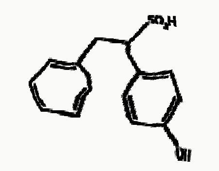 O=S(=O)(O)C(Cc1ccccc1)c1ccc(O)cc1